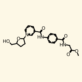 COC(=O)CNC(=O)c1ccc(NC(=O)c2ccc[n+](C3CCC(CO)O3)c2)cc1